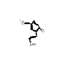 CSCCc1cc(C(F)(F)F)ccc1C(C)C